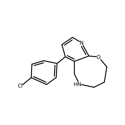 Clc1ccc(-c2ccnc3c2CNCCCO3)cc1